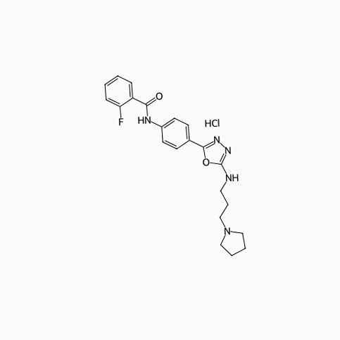 Cl.O=C(Nc1ccc(-c2nnc(NCCCN3CCCC3)o2)cc1)c1ccccc1F